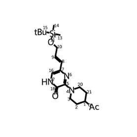 CC(=O)C1CCN(c2nc(/C=C/CO[Si](C)(C)C(C)(C)C)c[nH]c2=O)CC1